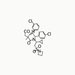 CC1(CC(=O)O)CC(c2cccc(Cl)c2)C(c2ccc(Cl)cc2)N(C(CS(=O)(=O)N2CCC2)C2CC2)C1=O